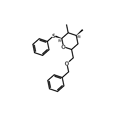 CC1[C@@H](C)CC(COCc2ccccc2)O[C@H]1Sc1ccccc1